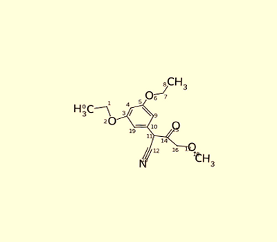 CCOc1cc(OCC)cc(C(C#N)C(=O)COC)c1